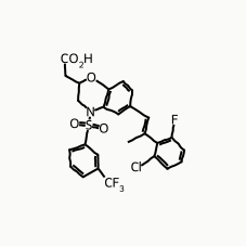 CC(=Cc1ccc2c(c1)N(S(=O)(=O)c1cccc(C(F)(F)F)c1)CC(CC(=O)O)O2)c1c(F)cccc1Cl